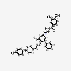 COc1cc(/C=N/NC(=O)c2ccc(O)c(Cl)c2)cc(-c2ccccc2)c1OCCN1CCN(c2ccc(Cl)cc2)CC1